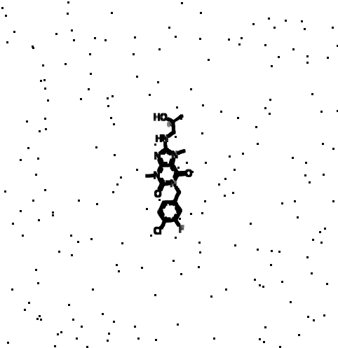 C[C@H](O)CNc1nc2c(c(=O)n(Cc3ccc(Cl)c(F)c3)c(=O)n2C)n1C